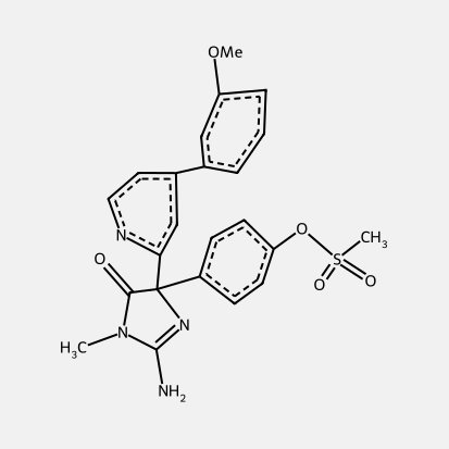 COc1cccc(-c2ccnc(C3(c4ccc(OS(C)(=O)=O)cc4)N=C(N)N(C)C3=O)c2)c1